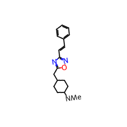 CNC1CCC(Cc2nc(C=Cc3ccccc3)no2)CC1